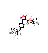 Cc1onc(-c2ccc(CC(C)(C)[Si](C)(C)O)cc2)c1C(=O)OC(C)(C)C